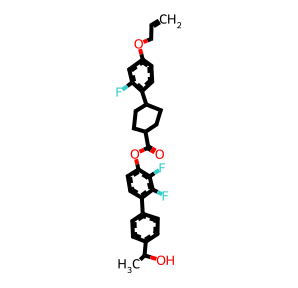 C=CCOc1ccc(C2CCC(C(=O)Oc3ccc(-c4ccc(C(C)O)cc4)c(F)c3F)CC2)c(F)c1